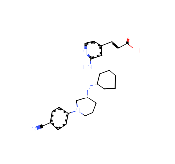 N#Cc1ccc(N2CCC[C@H](N[C@@H]3CCCC[C@H]3Nc3cc(C=CC(=O)O)ccn3)C2)cc1